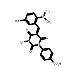 Cc1ccc(N(C)C)c(C=C2C(=O)N(C)C(=O)N(c3ccc(C(=O)O)cc3)C2=O)c1